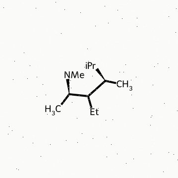 CCC([C@H](C)C(C)C)[C@@H](C)NC